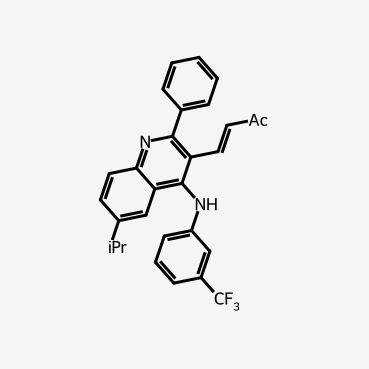 CC(=O)/C=C/c1c(-c2ccccc2)nc2ccc(C(C)C)cc2c1Nc1cccc(C(F)(F)F)c1